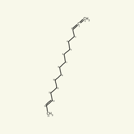 C=C=CCCCCCCCCCCC=CC